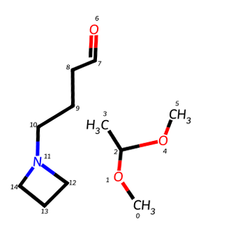 COC(C)OC.O=CCCCN1CCC1